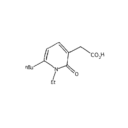 CCCCc1ccc(CC(=O)O)c(=O)n1CC